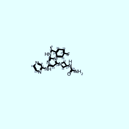 C[C@H](Nc1nc(Nc2cnccn2)cc(N2CC(NC(N)=O)C2)n1)c1ccc(F)cc1